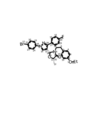 CCOc1ccc(CCN2C(=O)[C@H](C)O[C@@H]2c2cn(-c3ccc(Br)cc3)nc2-c2ccc(F)cc2)cc1